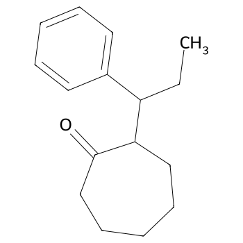 CCC(c1ccccc1)C1CCCCCC1=O